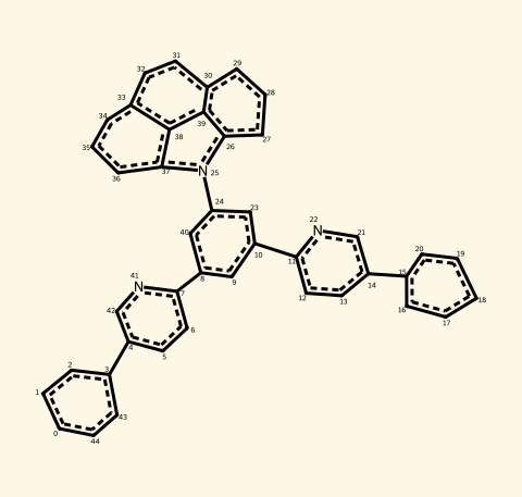 c1ccc(-c2ccc(-c3cc(-c4ccc(-c5ccccc5)cn4)cc(-n4c5cccc6ccc7cccc4c7c65)c3)nc2)cc1